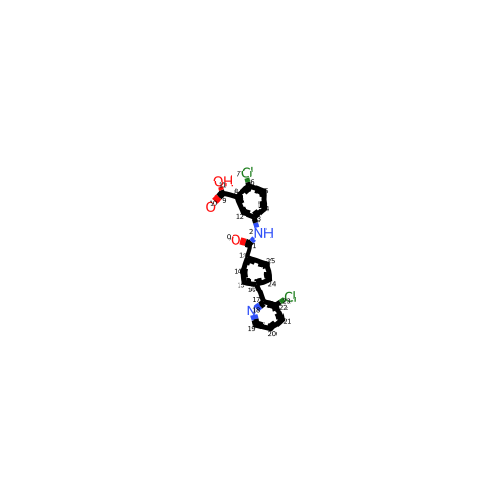 O=C(Nc1ccc(Cl)c(C(=O)O)c1)c1ccc(-c2ncccc2Cl)cc1